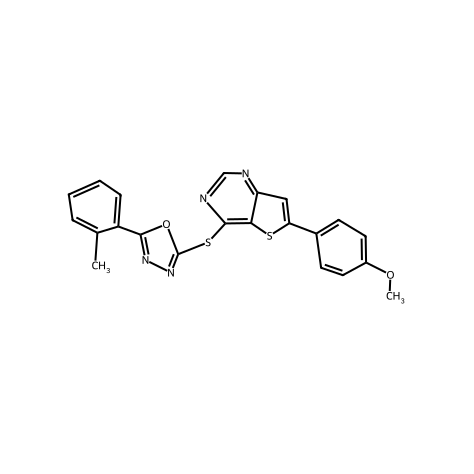 COc1ccc(-c2cc3ncnc(Sc4nnc(-c5ccccc5C)o4)c3s2)cc1